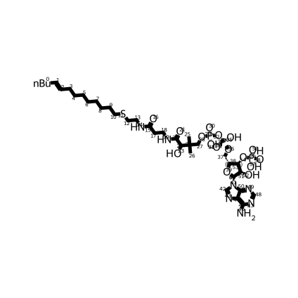 CCCCC=CCCCCCCCCSCCNC(=O)CCNC(=O)C(O)C(C)(C)COP(=O)(O)OP(=O)(O)OC[C@H]1O[C@@H](n2cnc3c(N)ncnc32)[C@H](O)[C@@H]1OP(=O)(O)O